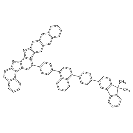 CC1(C)c2ccccc2-c2cc(-c3ccc(-c4ccc(-c5ccc(-c6cc7c(sc8ccc9ccccc9c87)c7nc8cc9cc%10ccccc%10cc9cc8n67)cc5)c5ccccc45)cc3)ccc21